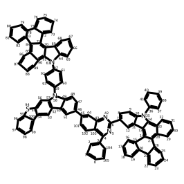 c1ccc(-c2nc(-c3ccc4c(c3)c3c5c6ccccc6c6ccccc6c5c5ccccc5c3n4-c3ccccc3)nc3cc(-c4ccc5c(c4)c4cc6c(cc4n5-c4ccc(-n5c7ccccc7c7c8c9ccccc9c9ccccc9c8c8ccccc8c75)cc4)sc4ccccc46)ccc23)cc1